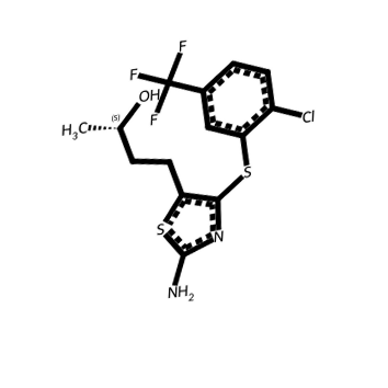 C[C@H](O)CCc1sc(N)nc1Sc1cc(C(F)(F)F)ccc1Cl